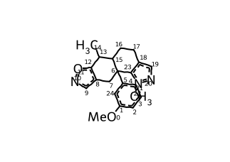 COc1cccc(C23Cc4cnoc4C(C)C2CCc2cnn(C)c23)c1